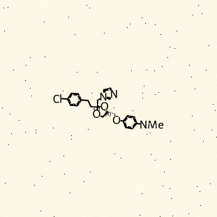 CNc1ccc(OC[C@@H]2CO[C@](CCc3ccc(Cl)cc3)(Cn3ccnc3)O2)cc1